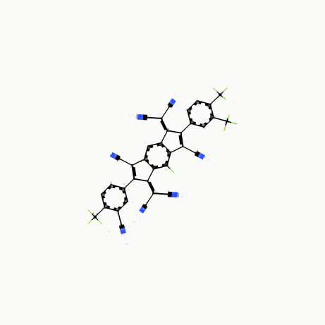 N#CC(C#N)=C1C(c2ccc(C(F)(F)F)c(C(F)(F)F)c2)=C(C#N)c2c1cc1c(c2F)C(=C(C#N)C#N)C(c2ccc(C(F)(F)F)c(C#N)c2)=C1C#N